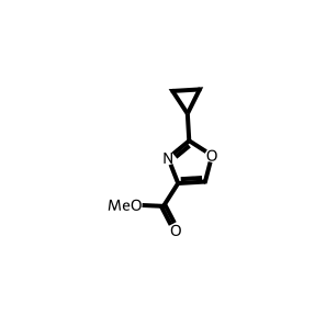 COC(=O)c1coc(C2CC2)n1